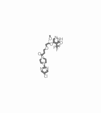 COC[C@@H](COCCC(=O)N1CCN(c2ncc(Cl)cn2)CC1)Oc1cn[nH]c(=O)c1C(F)(F)F